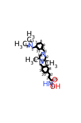 CCN(CC)Cc1cccc(CN2C[C@H](C)N(Cc3ccc(/C=C/C(=O)NO)cc3)[C@@H](C)C2)c1